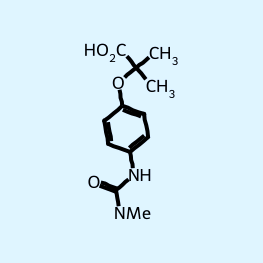 CNC(=O)Nc1ccc(OC(C)(C)C(=O)O)cc1